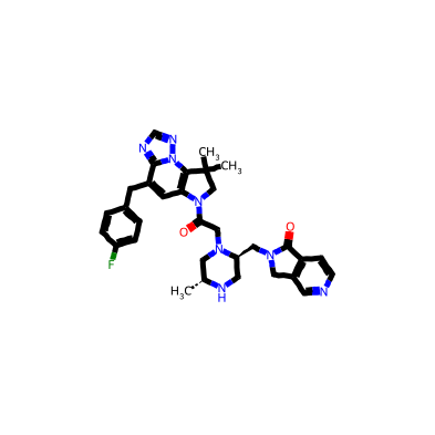 C[C@@H]1CN(CC(=O)N2CC(C)(C)c3c2cc(Cc2ccc(F)cc2)c2ncnn32)[C@@H](CN2Cc3cnccc3C2=O)CN1